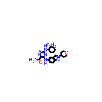 NC(=O)c1nnc(N[C@@H]2CCCC[C@@H]2N)nc1Nc1ccc2nn(C3CCOCC3)cc2c1